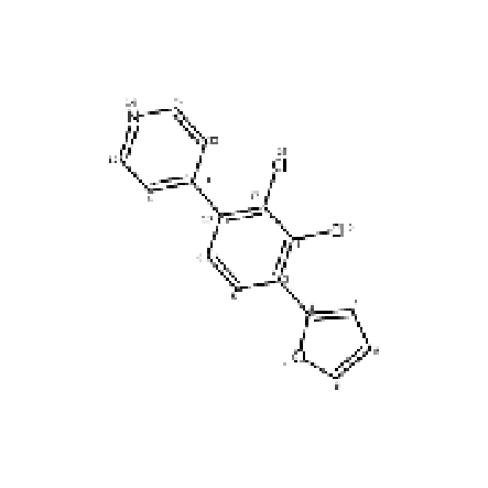 Clc1c(-c2ccco2)[c]cc(-c2ccncc2)c1Cl